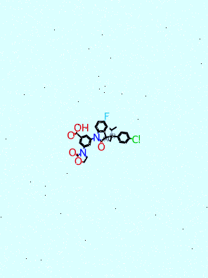 CC(C)[C@]1(c2ccc(Cl)cc2)C[C@@]12C(=O)N(c1cc(C(=O)O)cc(N3CCOC3=O)c1)c1ccc(F)cc12